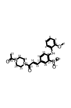 COc1ccccc1Sc1ccc(C=CC(=O)N2CCN(C(C)=O)CC2)cc1[N+](=O)[O-]